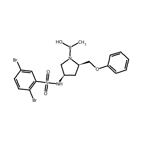 CB(O)N1C[C@H](NS(=O)(=O)c2cc(Br)ccc2Br)C[C@@H]1COc1ccccc1